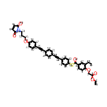 C=COC(=O)COc1ccc(C(=O)Sc2ccc(C#Cc3ccc(C#Cc4ccc(OCCCN5C(=O)C=CC5=O)cc4)cc3)cc2)cc1CC